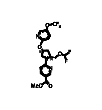 COC(=O)c1ccc(N2C[C@@H](Oc3ccc(OC(F)(F)F)cn3)C[C@H]2COC(F)F)nc1